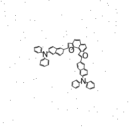 C1=c2ccc(N(c3ccccc3)c3ccccc3)cc2=CCC1c1cc2ccc3ccc4oc(-c5ccc6cc(N(c7ccccc7)c7ccccc7)ccc6c5)cc4c3c2o1